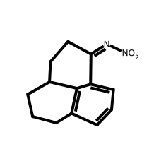 O=[N+]([O-])/N=C1/CCC2CCCc3cccc1c32